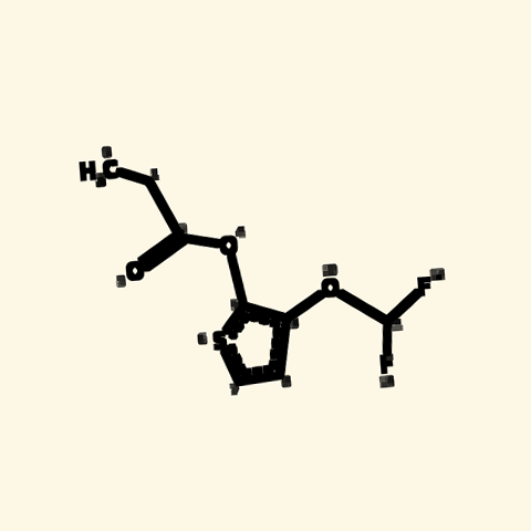 CCC(=O)Oc1sccc1OC(F)F